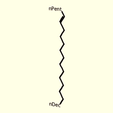 [CH2]CCCCC=CCCCCCCCCCCCCCCCCCCCC[CH2]